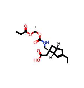 CCC(=O)O[C@H](C)OC(=O)NC[C@@]1(CC(=O)O)C[C@@H]2CC(CC)=C[C@@H]21